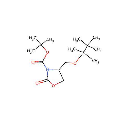 CC(C)(C)OC(=O)N1C(=O)OCC1CO[Si](C)(C)C(C)(C)C